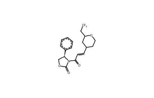 O=C(C=CC1CCOC(CC(F)(F)F)C1)N1C(=O)OC[C@H]1c1ccccc1